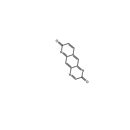 O=C1C=Cc2cc3c(cc2=N1)N=CC(=O)N=3